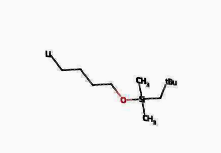 [Li][CH2]CCCO[Si](C)(C)CC(C)(C)C